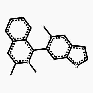 Cc1cc2ccsc2cc1-c1c2ccccc2cc(C)[n+]1C